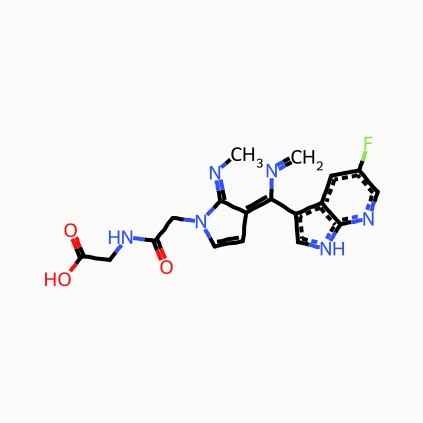 C=N/C(=C1/C=CN(CC(=O)NCC(=O)O)/C1=N/C)c1c[nH]c2ncc(F)cc12